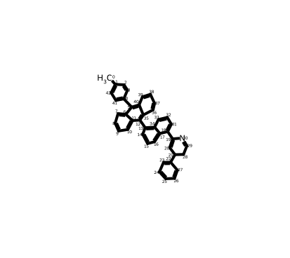 Cc1ccc(-c2c3ccccc3c(-c3cccc4c(C5=CC(c6ccccc6)CC=N5)cccc34)c3ccccc23)cc1